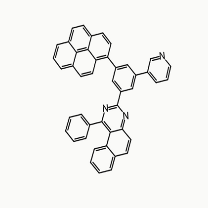 c1ccc(-c2nc(-c3cc(-c4cccnc4)cc(-c4ccc5ccc6cccc7ccc4c5c67)c3)nc3ccc4ccccc4c23)cc1